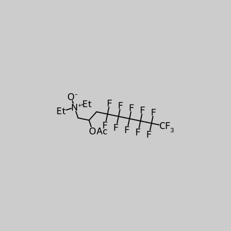 CC[N+]([O-])(CC)CC(CC(F)(F)C(F)(F)C(F)(F)C(F)(F)C(F)(F)C(F)(F)F)OC(C)=O